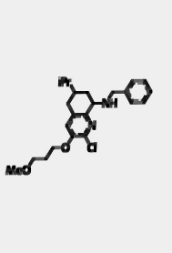 COCCCOc1cc2c(nc1Cl)C(NCc1ccccc1)CC(C(C)C)C2